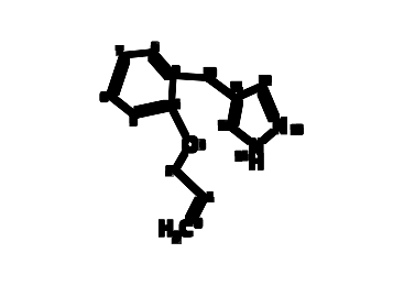 C=CCOc1ccccc1Cc1cn[nH]c1